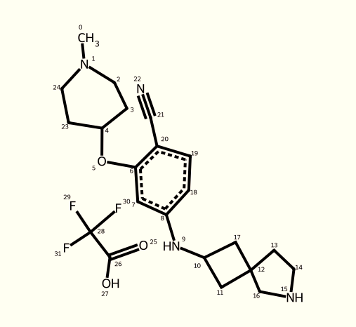 CN1CCC(Oc2cc(NC3CC4(CCNC4)C3)ccc2C#N)CC1.O=C(O)C(F)(F)F